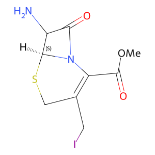 COC(=O)C1=C(CI)CS[C@H]2C(N)C(=O)N12